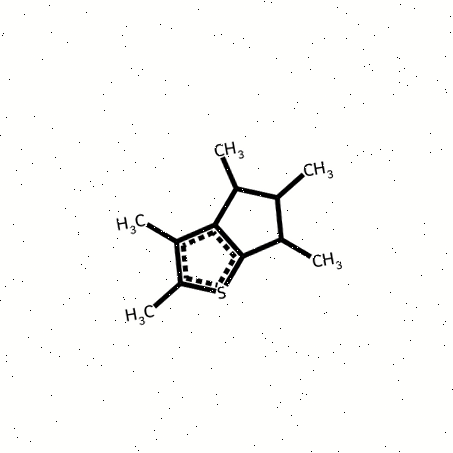 Cc1sc2c(c1C)C(C)C(C)C2C